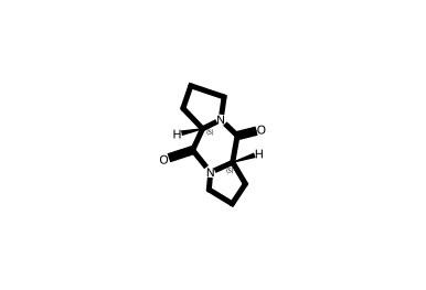 O=C1[C@@H]2CCCN2C(=O)[C@@H]2CCCN12